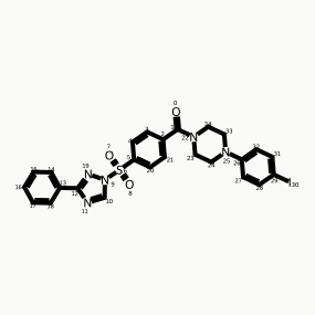 O=C(c1ccc(S(=O)(=O)n2cnc(-c3ccccc3)n2)cc1)N1CCN(c2ccc(I)cc2)CC1